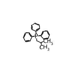 CC(C)C[P](c1ccccc1)(c1ccccc1)c1ccccc1